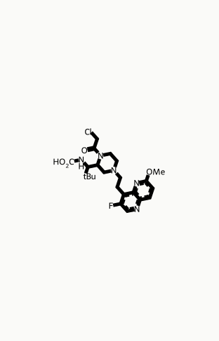 COc1ccc2ncc(F)c(CCN3CCN(C(=O)CCl)C(C(NC(=O)O)C(C)(C)C)C3)c2n1